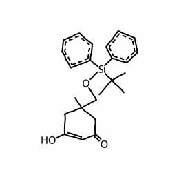 CC1(CO[Si](c2ccccc2)(c2ccccc2)C(C)(C)C)CC(=O)C=C(O)C1